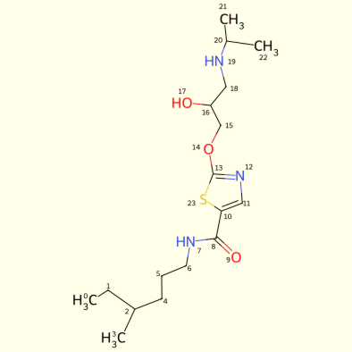 CCC(C)CCCNC(=O)c1cnc(OCC(O)CNC(C)C)s1